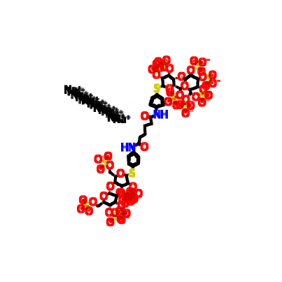 O=C(CCCCC(=O)Nc1ccc(S[C@@H]2O[C@H](COS(=O)(=O)[O-])[C@@H](O[C@H]3O[C@H](COS(=O)(=O)[O-])[C@@H](OS(=O)(=O)[O-])[C@H](OS(=O)(=O)[O-])[C@H]3OS(=O)(=O)[O-])[C@H](OS(=O)(=O)[O-])[C@H]2OS(=O)(=O)[O-])cc1)Nc1ccc(S[C@@H]2O[C@H](COS(=O)(=O)[O-])[C@@H](O[C@H]3O[C@H](COS(=O)(=O)[O-])[C@@H](OS(=O)(=O)[O-])[C@H](OS(=O)(=O)[O-])[C@H]3OS(=O)(=O)[O-])[C@H](OS(=O)(=O)[O-])[C@H]2OS(=O)(=O)[O-])cc1.[Na+].[Na+].[Na+].[Na+].[Na+].[Na+].[Na+].[Na+].[Na+].[Na+].[Na+].[Na+].[Na+].[Na+]